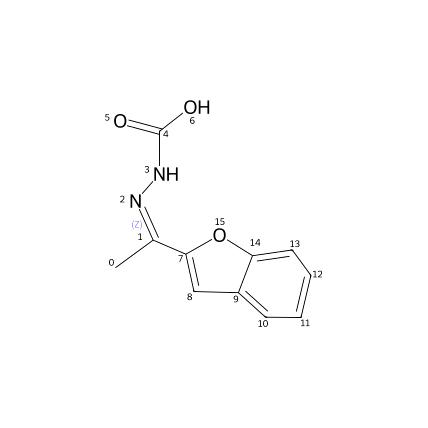 C/C(=N/NC(=O)O)c1cc2ccccc2o1